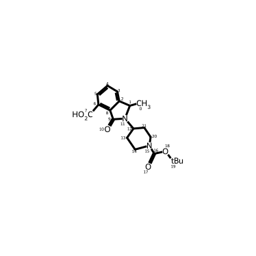 CC1c2cccc(C(=O)O)c2C(=O)N1C1CCN(C(=O)OC(C)(C)C)CC1